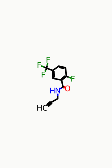 C#CCNC(=O)c1cc(C(F)(F)F)ccc1F